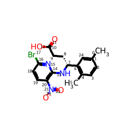 Cc1ccc(C)c([C@@H](CCC(=O)O)Nc2nc(Br)ccc2[N+](=O)[O-])c1